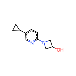 OC1CN(c2ccc(C3CC3)cn2)C1